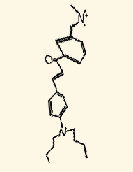 CCCCN(CCCC)c1ccc(C=CC(=O)c2cccc(C[N+](C)(C)C)c2)cc1